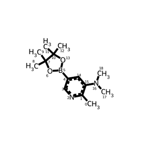 Cc1ncc(B2OC(C)(C)C(C)(C)O2)cc1N(C)C